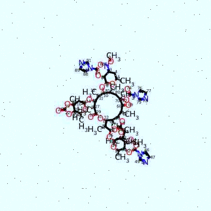 CON=C1C[C@@H](C)O[C@@H](O[C@@H]2[C@@H](C)[C@H](O[C@H]3C[C@@]4(C)OC(=O)O[C@H]4[C@H](C)O3)[C@@H](C)C(=O)O[C@H]([C@@H](C)CO[C@@H]3O[C@H](C)[C@@H](OC(=O)n4ccnc4)[C@@H](OC)[C@H]3OC)[C@H](C)[C@@H](OC(=O)CC(C)C)[C@@H](C)C(=O)[C@@](C)(OC(=O)n3ccnc3)C[C@@H]2C)[C@@H]1OC(=O)n1ccnc1